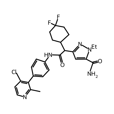 CCn1nc(C(C(=O)Nc2ccc(-c3c(Cl)ccnc3C)cc2)C2CCC(F)(F)CC2)cc1C(N)=O